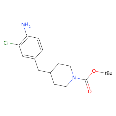 CC(C)(C)OC(=O)N1CCC(Cc2ccc(N)c(Cl)c2)CC1